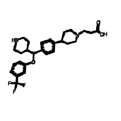 O=C(O)CCN1CCC(c2ccc(C(Oc3cccc(C(F)(F)F)c3)C3CCNCC3)cc2)CC1